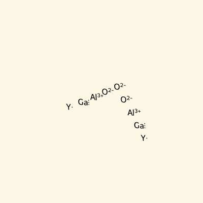 [Al+3].[Al+3].[Ga].[Ga].[O-2].[O-2].[O-2].[Y].[Y]